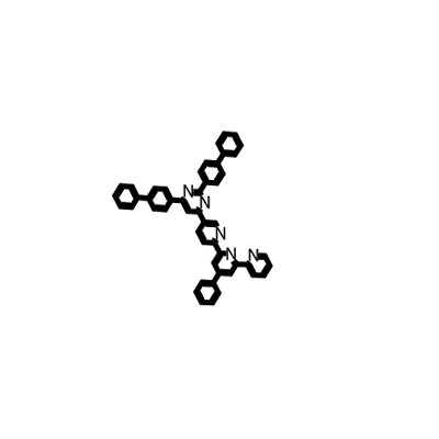 c1ccc(-c2ccc(-c3cc(-c4ccc(-c5cc(-c6ccccc6)cc(-c6ccccn6)n5)nc4)nc(-c4ccc(-c5ccccc5)cc4)n3)cc2)cc1